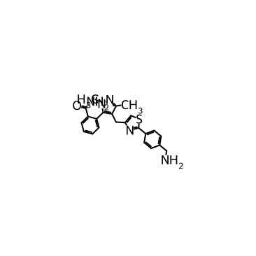 Cc1nn(C)c(-c2ccccc2C(N)=O)c1Cc1csc(-c2ccc(CN)cc2)n1